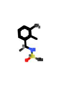 Cc1c([C@@H](C)N[S@@+]([O-])C(C)(C)C)cccc1C(F)(F)F